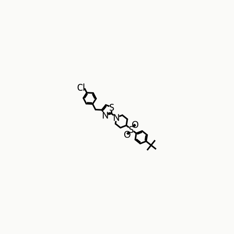 CC(C)(C)c1ccc(S(=O)(=O)C2CCN(c3nc(Cc4ccc(Cl)cc4)cs3)CC2)cc1